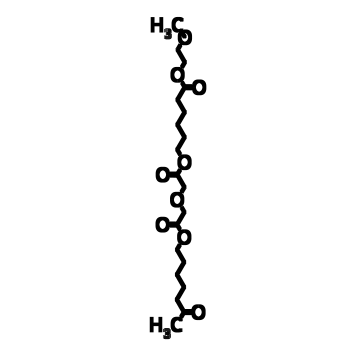 COCCOC(=O)CCCCCOC(=O)COCC(=O)OCCCCCC(C)=O